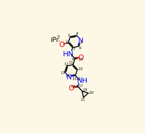 CC(C)Oc1ccncc1NC(=O)c1ccnc(NC(=O)C2CC2)c1